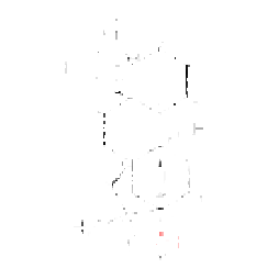 CC1(C)C[C@@]23CC[C@H]4[C@@](C)(CCC[C@@]4(C)C(=O)O)[C@@H]2CC[C@]1(O)C3